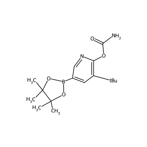 CC(C)(C)c1cc(B2OC(C)(C)C(C)(C)O2)cnc1OC(N)=O